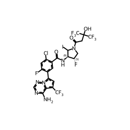 Nc1ncnn2c(-c3cc(C(=O)N[C@H]4C(I)N(C(=O)CC(O)(C(F)(F)F)C(F)(F)F)C[C@@H]4F)c(Cl)cc3F)cc(C(F)(F)F)c12